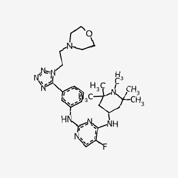 CN1C(C)(C)CC(Nc2nc(Nc3cccc(-c4nnnn4CCN4CCOCC4)c3)ncc2F)CC1(C)C